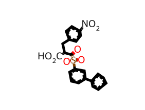 O=C(O)C(Cc1ccc([N+](=O)[O-])cc1)C(=O)S(=O)(=O)c1cccc(-c2ccccc2)c1